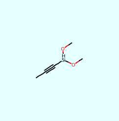 CC#C[SiH](OC)OC